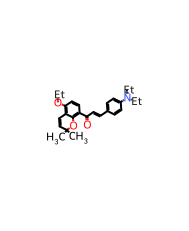 CCOc1ccc(C(=O)/C=C/c2ccc(N(CC)CC)cc2)c2c1C=CC(C)(C)O2